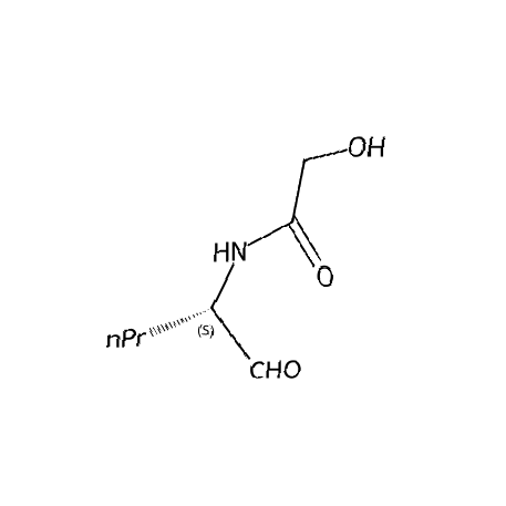 CCC[C@@H](C=O)NC(=O)CO